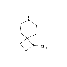 CN1CCC12CCNCC2